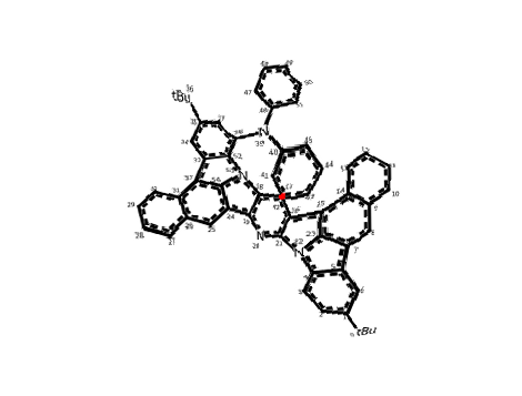 CC(C)(C)c1ccc2c(c1)c1cc3ccccc3c3c4cc5c(nc4n2c13)c1cc2ccccc2c2c3cc(C(C)(C)C)cc(N(c4ccccc4)c4ccccc4)c3n5c12